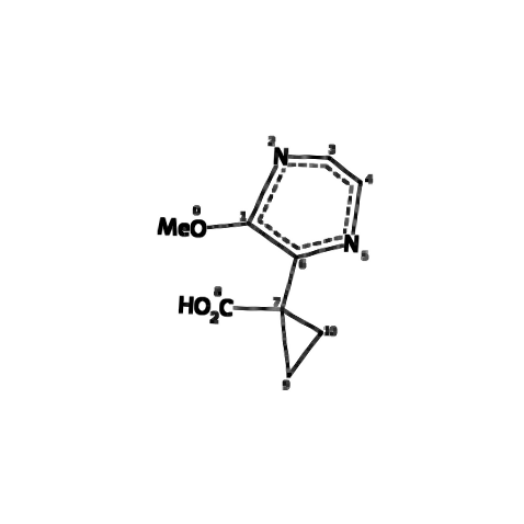 COc1nccnc1C1(C(=O)O)CC1